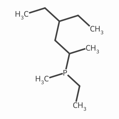 CCC(CC)CC(C)P(C)CC